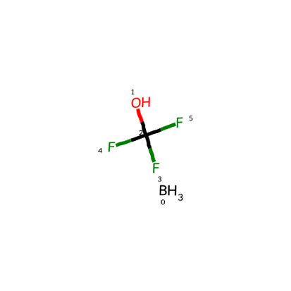 B.OC(F)(F)F